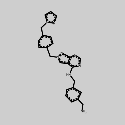 NCc1cccc(CNc2ncnc3nn(Cc4ccc(Cn5cccn5)cc4)cc23)c1